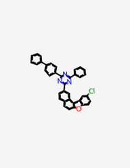 Clc1ccc2oc3ccc4ccc(-c5nc(-c6ccccc6)nc(-c6ccc(-c7ccccc7)cc6)n5)cc4c3c2c1